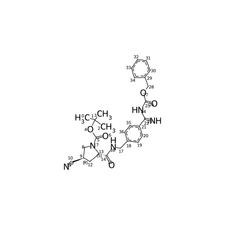 CC(C)(C)OC(=O)N1C[C@H](C#N)C[C@H]1C(=O)NCc1ccc(C(=N)NC(=O)OCc2ccccc2)cc1